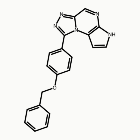 c1ccc(COc2ccc(-c3nnc4cnc5[nH]ccc5n34)cc2)cc1